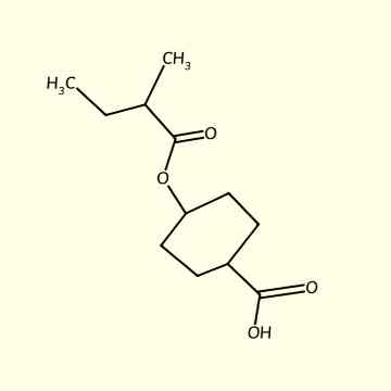 CCC(C)C(=O)OC1CCC(C(=O)O)CC1